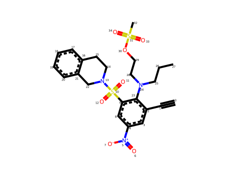 C#Cc1cc([N+](=O)[O-])cc(S(=O)(=O)N2CCc3ccccc3C2)c1N(CCC)CCOS(C)(=O)=O